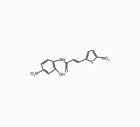 O=C(/C=C/c1ccc([N+](=O)[O-])s1)Nc1ccc([N+](=O)[O-])cc1O